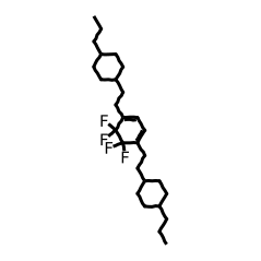 CCCC1CCC(CCC2=CC=C(CCC3CCC(CCC)CC3)C(F)(F)C2(F)F)CC1